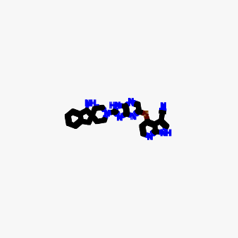 N#Cc1c[nH]c2nccc(Sc3cnc4[nH]c(N5CCC6(CC5)Cc5ccccc5[C@H]6N)nc4n3)c12